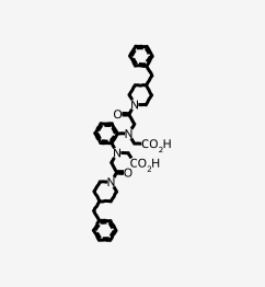 O=C(O)CN(CC(=O)N1CCC(Cc2ccccc2)CC1)c1ccccc1N(CC(=O)O)CC(=O)N1CCC(Cc2ccccc2)CC1